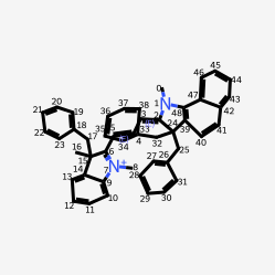 CN1/C(=C/C=C/C2=[N+](C)c3ccccc3C2(C)Cc2ccccc2)C(Cc2ccccc2)(Cc2ccccc2)c2ccc3ccccc3c21